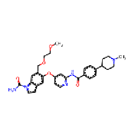 COCCOCc1cc2c(ccn2C(N)=O)cc1Oc1ccnc(NC(=O)c2ccc(C3CCN(C)CC3)cc2)c1